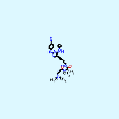 C[C@@H](C(=O)NCCCC#Cc1cnc(Nc2ccc(C#N)cc2)nc1NC1CCC1)N(C)C(=O)/C=C/CN(C)C